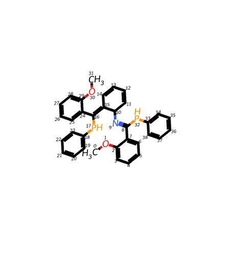 COc1ccccc1C(=NC1C=CC=CC1=C(Pc1ccccc1)c1ccccc1OC)Pc1ccccc1